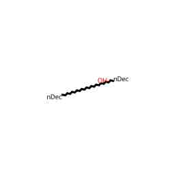 CCCCCCCCCCCCCCCCCCCCCCCCCCC(O)CCCCCCCCCCCCCCC